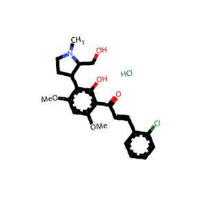 COc1cc(OC)c(C2CCN(C)C2CO)c(O)c1C(=O)C=Cc1ccccc1Cl.Cl